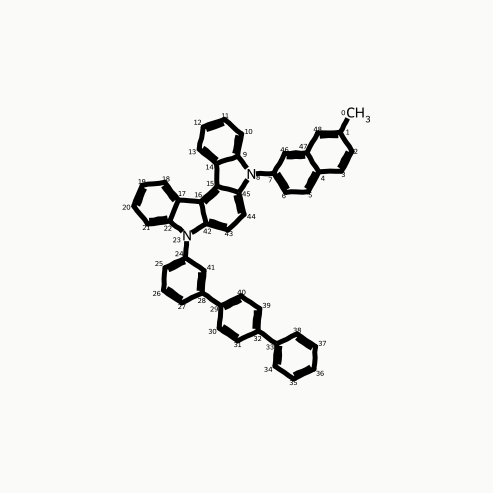 Cc1ccc2ccc(-n3c4ccccc4c4c5c6ccccc6n(-c6cccc(-c7ccc(-c8ccccc8)cc7)c6)c5ccc43)cc2c1